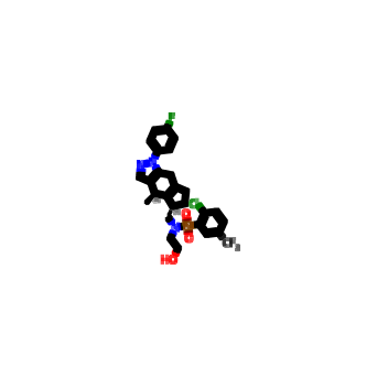 C[C@@H]1C2=C(CC[C@@H]2CN(CCO)S(=O)(=O)c2cc(C(F)(F)F)ccc2Cl)Cc2c1cnn2-c1ccc(F)cc1